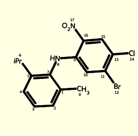 Cc1cccc(C(C)C)c1Nc1cc(Br)c(Cl)cc1[N+](=O)[O-]